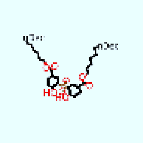 CCCCCCCCCCCCCCCCOC(=O)c1ccc(O)c(S(=O)(=O)c2cc(C(=O)OCCCCCCCCCCCCCCCC)ccc2O)c1